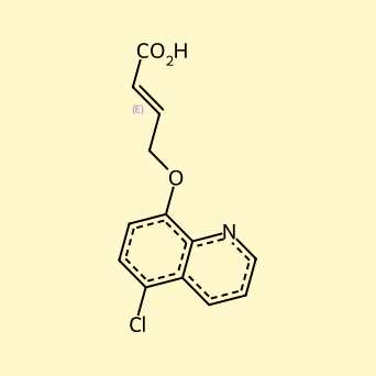 O=C(O)/C=C/COc1ccc(Cl)c2cccnc12